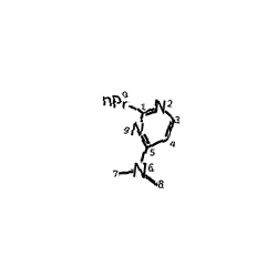 CCCc1nccc(N(C)C)n1